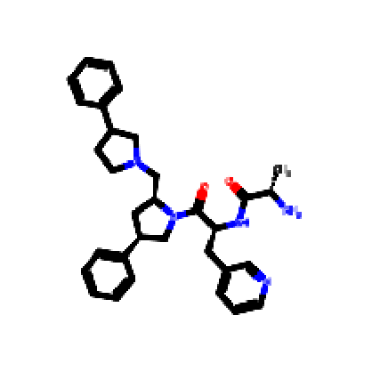 C[C@H](N)C(=O)N[C@@H](Cc1cccnc1)C(=O)N1C[C@@H](c2ccccc2)C[C@H]1CN1CCC(c2ccccc2)C1